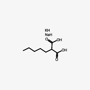 CCCCCC(C(=O)O)C(=O)O.[KH].[NaH]